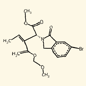 C=C(OCOC)/C(=C\C)[C@H](C(=O)OC)N1Cc2ccc(Br)cc2C1=O